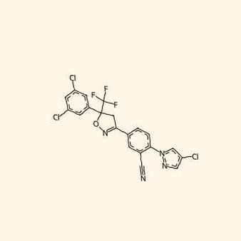 N#Cc1cc(C2=NOC(c3cc(Cl)cc(Cl)c3)(C(F)(F)F)C2)ccc1-n1cc(Cl)cn1